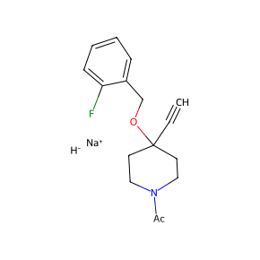 C#CC1(OCc2ccccc2F)CCN(C(C)=O)CC1.[H-].[Na+]